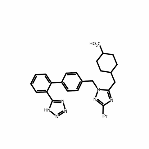 CC(C)c1nc(CC2CCC(C(=O)O)CC2)n(Cc2ccc(-c3ccccc3-c3nnn[nH]3)cc2)n1